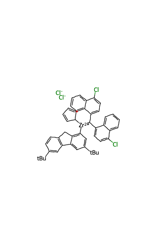 CC(C)(C)c1ccc2c(c1)-c1cc(C(C)(C)C)c[c]([Zr+2](=[C](c3ccc(Cl)c4ccccc34)c3ccc(Cl)c4ccccc34)[CH]3C=CC=C3)c1C2.[Cl-].[Cl-]